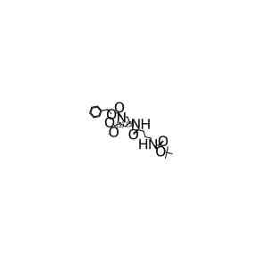 COC(=O)[C@@H]1C[C@H](NC(=O)CCCNC(=O)OC(C)(C)C)CN1C(=O)OCc1ccccc1